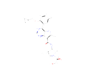 Cc1[nH]c2c(-c3cc(C(F)(F)F)ccc3OCC3CC3)ncnc2c1C(=O)NC1CN(C(=O)[C@H](C)O)CC1(F)F